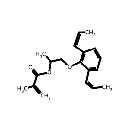 C=C(C)C(=O)OC(C)COc1c(/C=C\C)cccc1/C=C\C